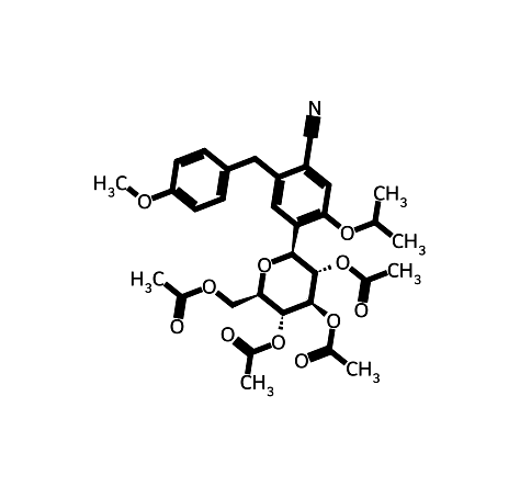 COc1ccc(Cc2cc([C@@H]3O[C@H](COC(C)=O)[C@@H](OC(C)=O)[C@H](OC(C)=O)[C@H]3OC(C)=O)c(OC(C)C)cc2C#N)cc1